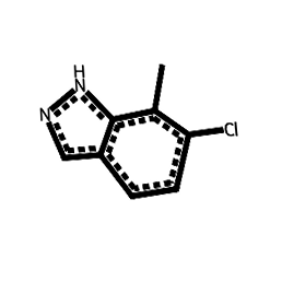 Cc1c(Cl)ccc2cn[nH]c12